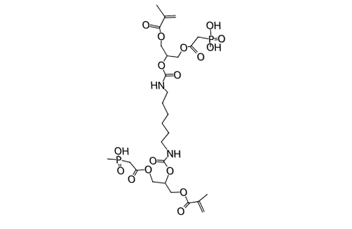 C=C(C)C(=O)OCC(COC(=O)CP(C)(=O)O)OC(=O)NCCCCCCNC(=O)OC(COC(=O)CP(=O)(O)O)COC(=O)C(=C)C